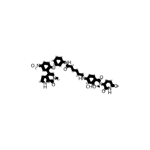 CN(C(=O)c1ccc(NCCCCCC(=O)Nc2cccc(Oc3ccc([N+](=O)[O-])cc3-c3cn(C)c(=O)c4[nH]ccc34)c2)cc1C=O)C1CCC(=O)NC1=O